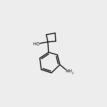 Nc1cccc(C2(O)CCC2)c1